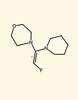 F/C=C(\N1CCCCC1)N1CCOCC1